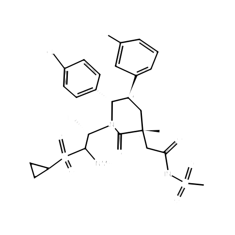 CC[C@@H](C(NC)S(=O)(=O)C1CC1)N1C(=O)[C@@](C)(CC(=O)NS(C)(=O)=O)C[C@H](c2cccc(Cl)c2)[C@H]1c1ccc(Cl)cc1